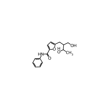 CC(O)C(CO)Cc1ccc(C(=O)Nc2ccccc2)o1